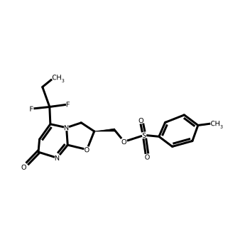 CCC(F)(F)c1cc(=O)nc2n1C[C@@H](COS(=O)(=O)c1ccc(C)cc1)O2